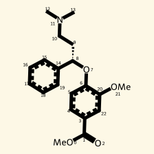 COC(=O)c1ccc(O[C@@H](CCN(C)C)c2ccccc2)c(OC)c1